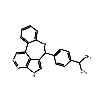 CC(C)c1ccc(C2Nc3ccccc3-c3cnnc4[nH]cc2c34)cc1